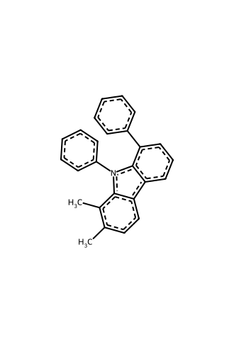 Cc1ccc2c3cccc(-c4ccccc4)c3n(-c3ccccc3)c2c1C